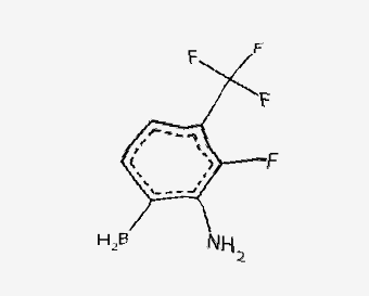 Bc1ccc(C(F)(F)F)c(F)c1N